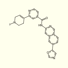 O=C(Nc1cc2cc(-c3cnco3)ccc2cn1)c1ccnc(C2=CCN(I)CC2)c1